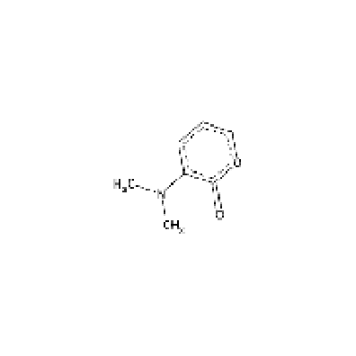 CN(C)c1cccoc1=O